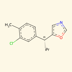 Cc1ccc([C@H](c2cnco2)C(C)C)cc1Cl